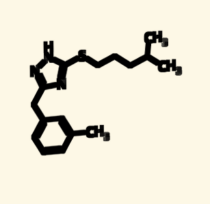 Cc1cccc(Cc2n[nH]c(SCCCC(C)C)n2)c1